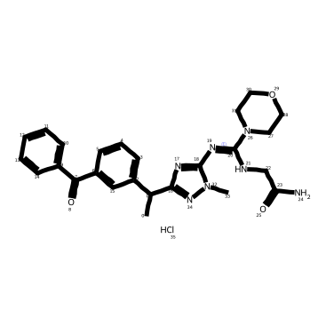 CC(c1cccc(C(=O)c2ccccc2)c1)c1nc(/N=C(\NCC(N)=O)N2CCOCC2)n(C)n1.Cl